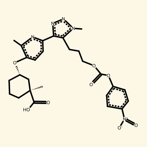 Cc1nc(-c2nnn(C)c2CCCOC(=O)Oc2ccc([N+](=O)[O-])cc2)ccc1O[C@H]1CCC[C@](C)(C(=O)O)C1